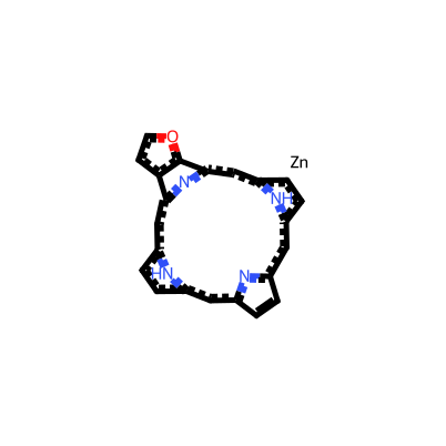 C1=Cc2cc3ccc(cc4nc(cc5ccc(cc1n2)[nH]5)-c1ccoc1-4)[nH]3.[Zn]